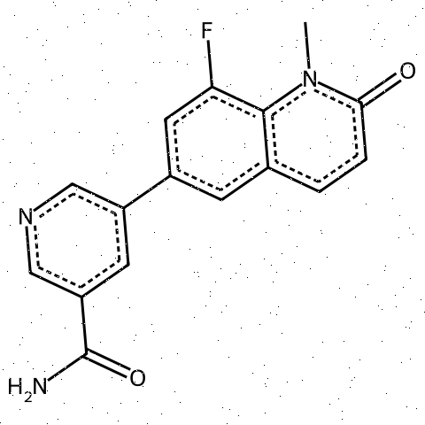 Cn1c(=O)ccc2cc(-c3cncc(C(N)=O)c3)cc(F)c21